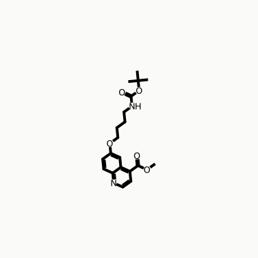 COC(=O)c1ccnc2ccc(OCCCCNC(=O)OC(C)(C)C)cc12